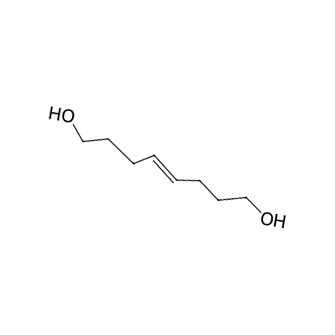 OCCCC=CCCCO